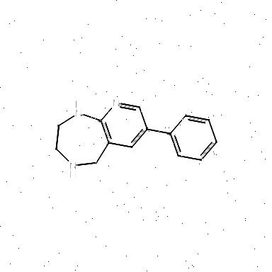 c1ccc(-c2cnc3c(c2)CNCCN3)cc1